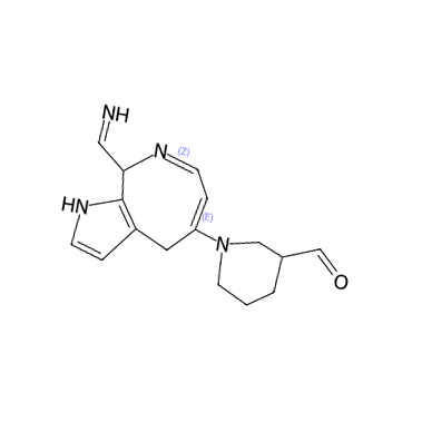 N=CC1/N=C\C=C(\N2CCCC(C=O)C2)Cc2cc[nH]c21